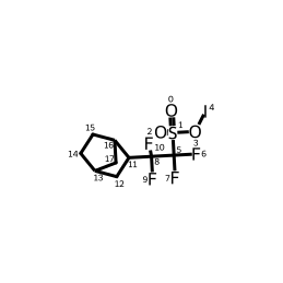 O=S(=O)(OI)C(F)(F)C(F)(F)C1CC2CCC1C2